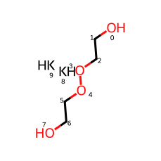 OCCOOCCO.[KH].[KH]